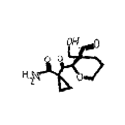 NC(=O)C1(C(=O)C2OCCCC2([C]=O)CO)CC1